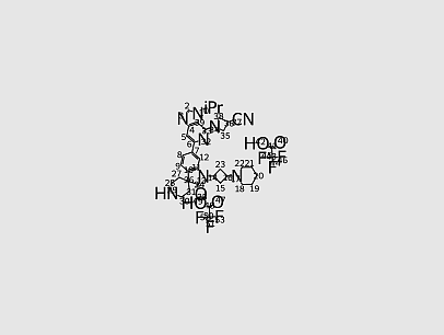 CC(C)n1cnc2cc(-c3ccc4c(c3)N(C3CC(N5CCCCC5)C3)C(=O)C43CCNCC3)nc(N3CC(C#N)C3)c21.O=C(O)C(F)(F)F.O=C(O)C(F)(F)F